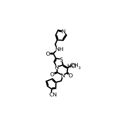 Cc1c(=O)n(Cc2cccc(C#N)c2)c(=O)n2cc(C(=O)NCc3ccncc3)sc12.Cl